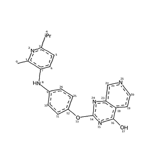 Cc1nc(C(C)C)ccc1Nc1ccc(Oc2nc(O)c3ccncc3n2)cc1